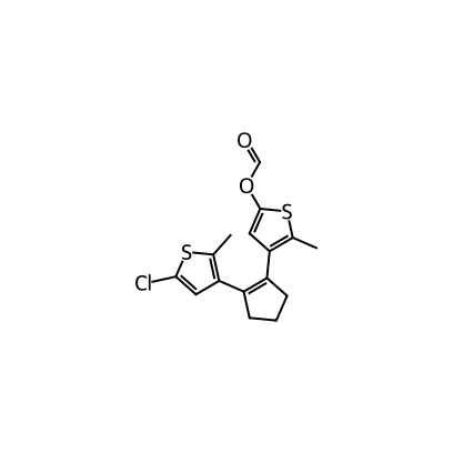 Cc1sc(Cl)cc1C1=C(c2cc(OC=O)sc2C)CCC1